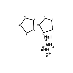 C1CCCC1.C1CCCC1.[AlH3].[HH].[HH].[NaH]